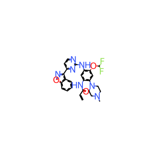 C=CC(=O)Nc1cc(Nc2nccc(-c3noc4ccccc34)n2)c(OC(F)F)cc1N1CCN(C)CC1